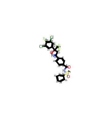 CS(=O)(=NC(=O)c1ccc(C2=NOC(c3cc(Cl)c(F)c(Cl)c3)(C(F)(F)F)C2)cc1)c1ccccc1